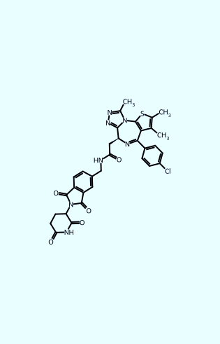 Cc1sc2c(c1C)C(c1ccc(Cl)cc1)=N[C@@H](CC(=O)NCc1ccc3c(c1)C(=O)N(C1CCC(=O)NC1=O)C3=O)c1nnc(C)n1-2